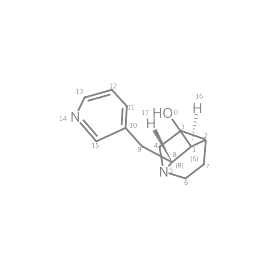 O[C@H]1C2CCN(CC2)[C@@H]1Cc1cccnc1